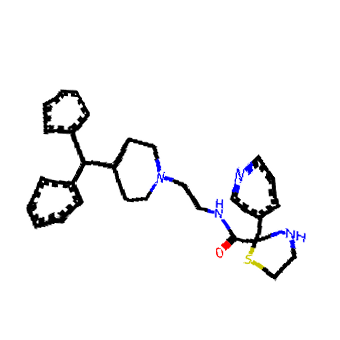 O=C(NCCN1CCC(C(c2ccccc2)c2ccccc2)CC1)C1(c2cccnc2)NCCS1